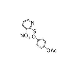 CC(=O)Oc1ccc(OSc2ncccc2[N+](=O)[O-])cc1